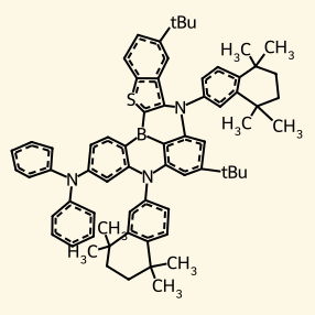 CC(C)(C)c1cc2c3c(c1)N(c1ccc4c(c1)C(C)(C)CCC4(C)C)c1c(sc4ccc(C(C)(C)C)cc14)B3c1ccc(N(c3ccccc3)c3ccccc3)cc1N2c1ccc2c(c1)C(C)(C)CCC2(C)C